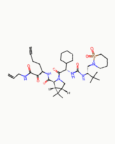 C#CCCC(NC(=O)[C@@H]1[C@@H]2[C@H](CN1C(=O)[C@@H](NC(=O)N[C@H](CN1CCCCS1(=O)=O)C(C)(C)C)C1CCCCC1)C2(C)C)C(=O)C(=O)NCC=C